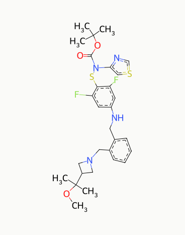 COC(C)(C)C1CN(Cc2ccccc2CNc2cc(F)c(SN(C(=O)OC(C)(C)C)c3cscn3)c(F)c2)C1